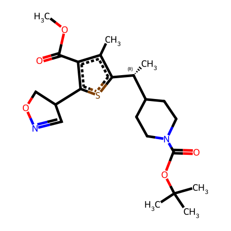 COC(=O)c1c(C2C=NOC2)sc([C@H](C)C2CCN(C(=O)OC(C)(C)C)CC2)c1C